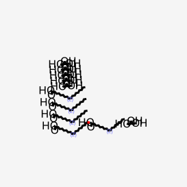 CCCCCCCC/C=C\CCCCCCCC(=O)O.CCCCCCCC/C=C\CCCCCCCC(=O)O.CCCCCCCC/C=C\CCCCCCCC(=O)O.CCCCCCCC/C=C\CCCCCCCC(=O)O.CCCCCCCC/C=C\CCCCCCCC(=O)O.OCC(O)CO.OCC(O)CO.OCC(O)CO.OCC(O)CO.OCC(O)CO.OCC(O)CO